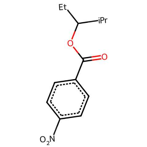 CCC(OC(=O)c1ccc([N+](=O)[O-])cc1)C(C)C